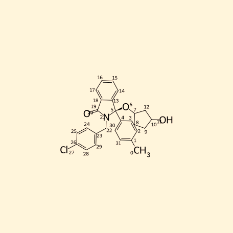 Cc1ccc([C@@]2(OC3CCC(O)C3)c3ccccc3C(=O)N2Cc2ccc(Cl)cc2)cc1